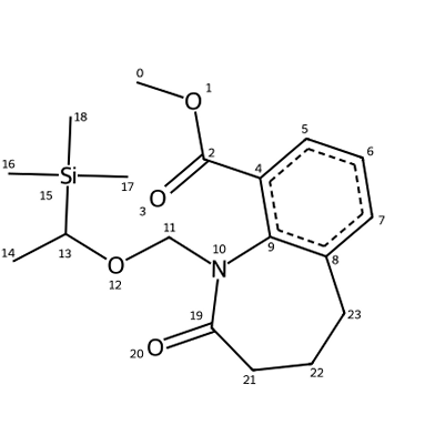 COC(=O)c1cccc2c1N(COC(C)[Si](C)(C)C)C(=O)CCC2